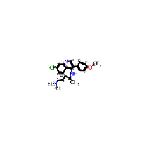 CCN(CC)CCCC(C)Nc1c(-c2ccc(OC(F)(F)F)cc2)cnc2cc(Cl)ccc12